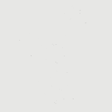 CS(=O)(=O)c1cc(N2CCN(CC3CCC(C(F)(F)F)CC3)[C@@H](c3ccccc3)C2)ccc1C(N)=O